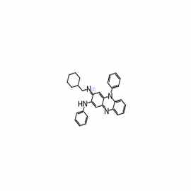 c1ccc(Nc2cc3nc4ccccc4n(-c4ccccc4)c-3c/c2=N/CC2CCCCC2)cc1